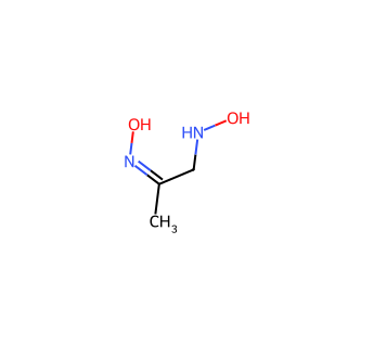 CC(CNO)=NO